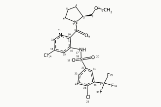 COC[C@@H]1CCCN1C(=O)c1ncc(Cl)cc1NS(=O)(=O)c1ccc(Cl)c(C(F)(F)F)c1